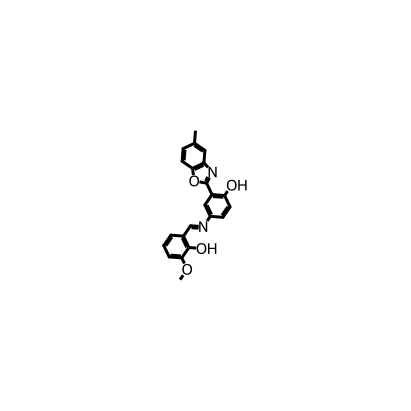 COc1cccc(C=Nc2ccc(O)c(-c3nc4cc(C)ccc4o3)c2)c1O